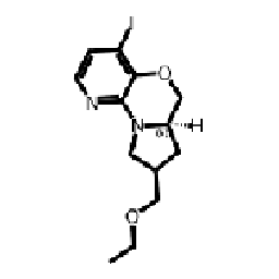 CCOCC1C[C@@H]2COc3c(I)ccnc3N2C1